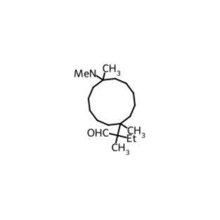 CCC(C)(C=O)C1(C)CCCCCC(C)(NC)CCCCC1